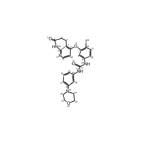 O=C1CCc2c(Oc3cc(NC(=O)Nc4cccc(N5CCOCC5)c4)ccc3I)ccnc2N1